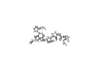 Cn1nccc1-c1cnc(Nc2cc([C@H]3CC[C@@H](OC(=O)NC4(C)CC4)[C@H]3F)[nH]n2)n2cc(C#N)nc12